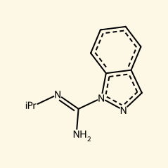 CC(C)N=C(N)n1ncc2ccccc21